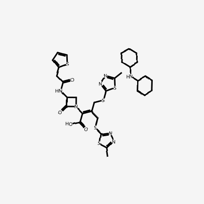 C1CCC(NC2CCCCC2)CC1.Cc1nnc(SCC(CSc2nnc(C)s2)=C(C(=O)O)N2CC(NC(=O)Cc3cccs3)C2=O)s1